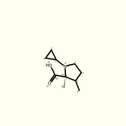 CC1CCN(C2CC2)[C@]1(C)C(=O)O